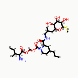 CCCC1CCN(C(=O)OCOC(=O)C(N)C(C)CC)C(C(=O)NCC(C)CC2OC(SC)C(O)C(O)C2O)C1